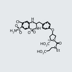 CCN(CCC(=O)O)C(=O)N1CC(Oc2ccc(CC3Nc4cc(Cl)c(S(N)(=O)=O)cc4S(=O)(=O)N3)cc2)C[C@H]1C(=O)O